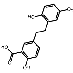 O=C(O)c1cc(CCc2cc(O)ccc2O)ccc1O